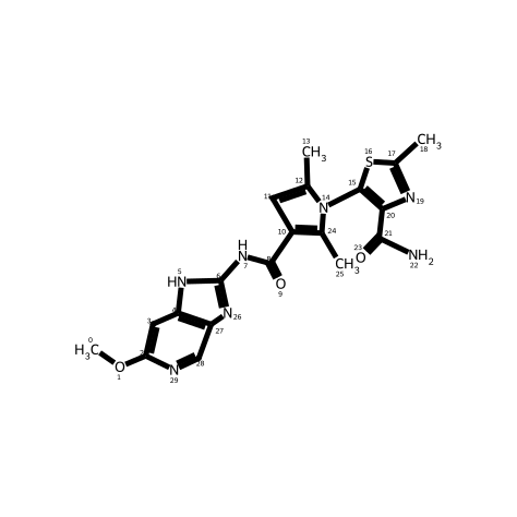 COc1cc2[nH]c(NC(=O)c3cc(C)n(-c4sc(C)nc4C(N)=O)c3C)nc2cn1